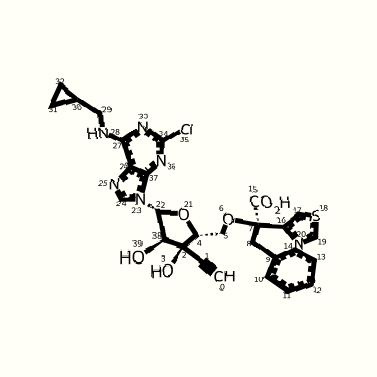 C#C[C@@]1(O)[C@@H](CO[C@@](Cc2ccccc2)(C(=O)O)c2cscn2)O[C@@H](n2cnc3c(NCC4CC4)nc(Cl)nc32)[C@@H]1O